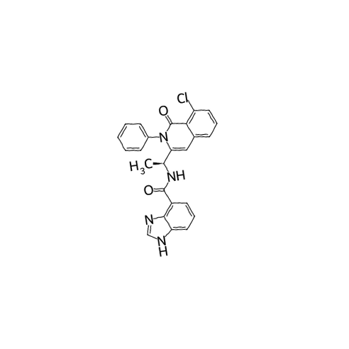 C[C@H](NC(=O)c1cccc2[nH]cnc12)c1cc2cccc(Cl)c2c(=O)n1-c1ccccc1